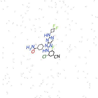 N#Cc1cc(F)c(Nc2nc3cnc(NC4CC(F)(F)C4)nc3n2[C@H]2CC[C@H](C(N)=O)CC2)c(Cl)c1